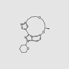 C[C@@H]1CCOCCCn2cc(cn2)-c2nn(C3CCCCO3)c3ccc(cc23)O1